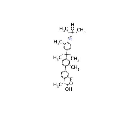 CCC(O)(/C=C/c1ccc(C(CC)(CC)c2ccc(-c3ccc(C(C)C(=O)O)c(F)c3)c(C)c2)cc1C)CC